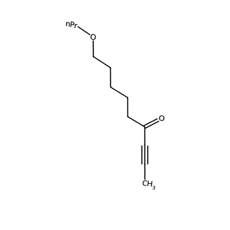 CC#CC(=O)CCCCCOCCC